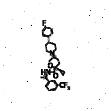 C[C@@H](NC(=O)[C@@]1(C2CC2)CC[C@@H](N2CCC(c3ccc(F)cc3)CC2)CO1)c1cccc(C(F)(F)F)c1